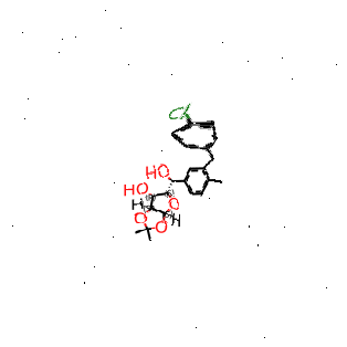 Cc1ccc(C(O)[C@@H]2O[C@H]3OC(C)(C)O[C@H]3[C@@H]2O)cc1Cc1ccc(Cl)cc1